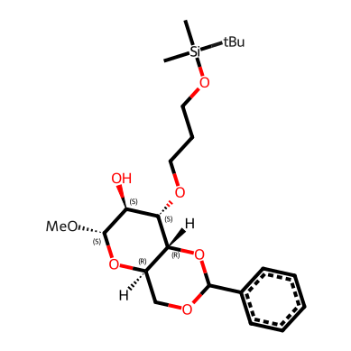 CO[C@H]1O[C@@H]2COC(c3ccccc3)O[C@H]2[C@@H](OCCCO[Si](C)(C)C(C)(C)C)[C@@H]1O